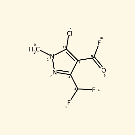 Cn1nc(C(F)F)c(C(=O)F)c1Cl